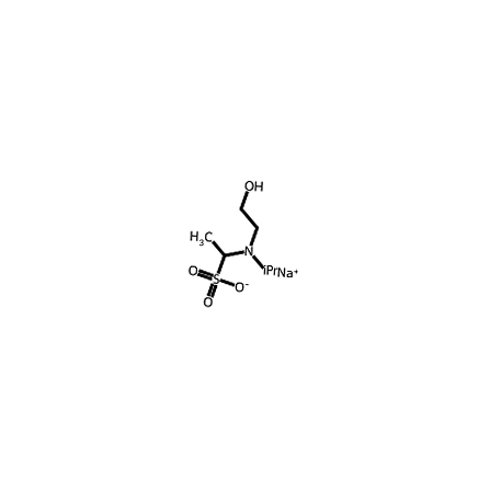 CC(C)N(CCO)C(C)S(=O)(=O)[O-].[Na+]